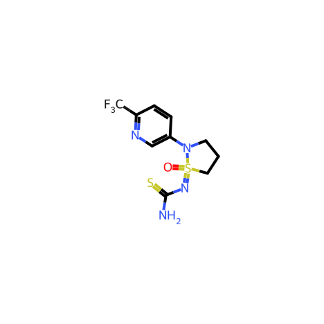 NC(=S)N=S1(=O)CCCN1c1ccc(C(F)(F)F)nc1